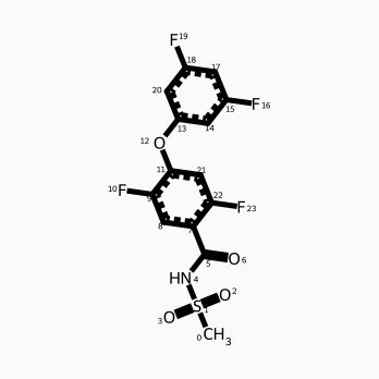 CS(=O)(=O)NC(=O)c1cc(F)c(Oc2cc(F)cc(F)c2)cc1F